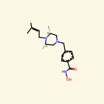 CC(C)=CCN1[C@H](C)CN(Cc2ccc(C(=O)NO)cc2)C[C@@H]1C